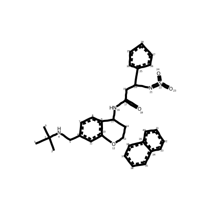 CC(C)(C)NCc1ccc2c(c1)OCCC2NC(=O)CC(N=S(=O)=O)c1ccccc1.c1ccc2ccccc2c1